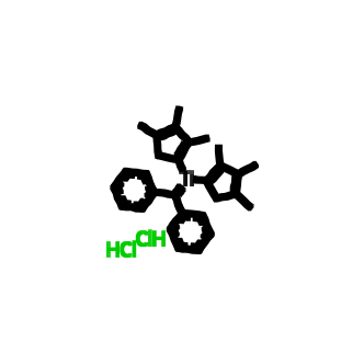 CC1=C(C)C(C)=[C]([Ti]([C]2=C(C)C(C)=C(C)C2)=[C](c2ccccc2)c2ccccc2)C1.Cl.Cl